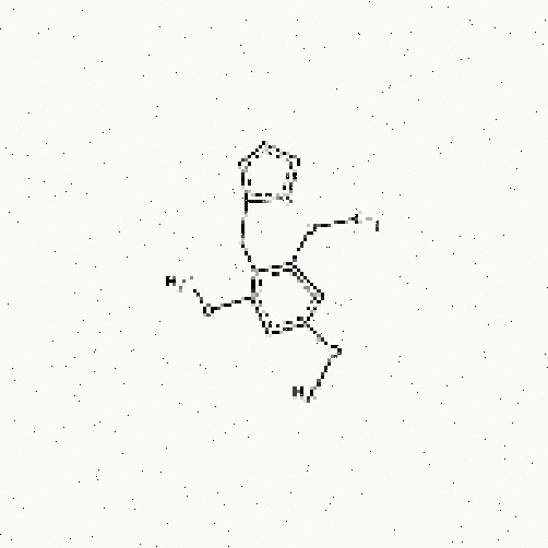 COc1cc(OC)c(Cc2cccs2)c(OC)c1